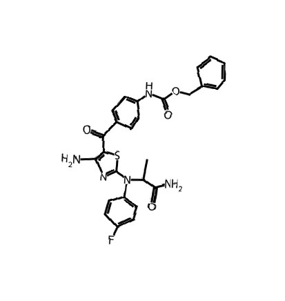 CC(C(N)=O)N(c1ccc(F)cc1)c1nc(N)c(C(=O)c2ccc(NC(=O)OCc3ccccc3)cc2)s1